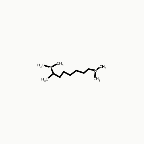 CC(CCCCCCN(C)C)N(C)C